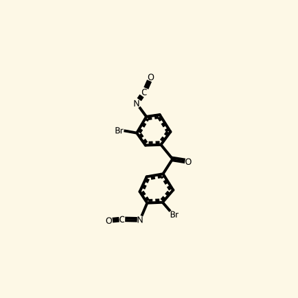 O=C=Nc1ccc(C(=O)c2ccc(N=C=O)c(Br)c2)cc1Br